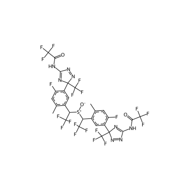 Cc1cc(F)c(C2(C(F)(F)F)N=NC(NC(=O)C(F)(F)F)=N2)cc1C([S+]([O-])C(c1cc(C2(C(F)(F)F)N=NC(NC(=O)C(F)(F)F)=N2)c(F)cc1C)C(F)(F)F)C(F)(F)F